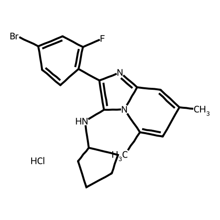 Cc1cc(C)n2c(NC3CCCC3)c(-c3ccc(Br)cc3F)nc2c1.Cl